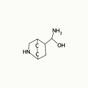 NC(O)C1CC2CCC1CN2